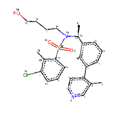 Cc1cnccc1-c1cccc([C@H](C)N(CCCCO)S(=O)(=O)c2cccc(Cl)c2C)c1